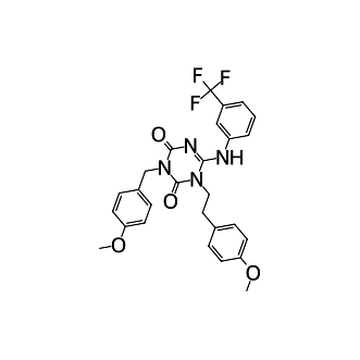 COc1ccc(CCn2c(Nc3cccc(C(F)(F)F)c3)nc(=O)n(Cc3ccc(OC)cc3)c2=O)cc1